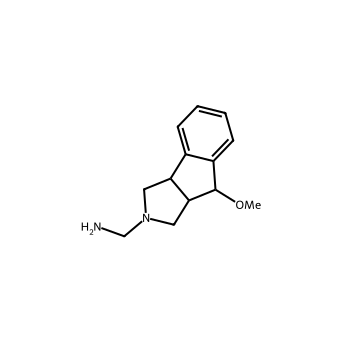 COC1c2ccccc2C2CN(CN)CC21